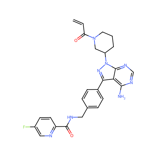 C=CC(=O)N1CCCC(n2nc(-c3ccc(CNC(=O)c4ccc(F)cn4)cc3)c3c(N)ncnc32)C1